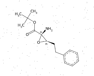 CC(C)(C)OC(=O)[C@@]1(N)O[C@@H]1CCc1ccccc1